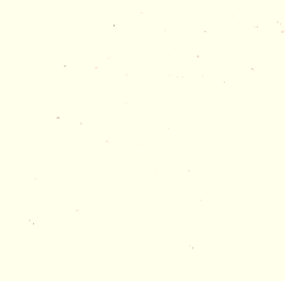 Nc1ccc(Oc2ccccc2P(=O)(c2ccccc2Oc2ccc(N)cc2)c2ccccc2Oc2ccc(N)cc2)cc1